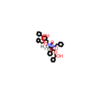 CC1(C)C(=O)N(C(Cc2ccccc2)OC(Cc2ccccc2)OCC(O)c2ccccc2)C(=O)N1C(Cc1ccccc1)OC(Cc1ccccc1)OCC(O)c1ccccc1